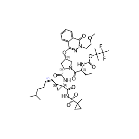 CC[C@H](NC(=O)OC(C)(C)C(C)(F)F)C(=O)N1C[C@H](Oc2nn(CCOC)c(=O)c3ccccc23)C[C@H]1C(=O)N[C@]1(C(=O)NS(=O)(=O)C2(C)CC2)C[C@H]1/C=C\CCC(C)C